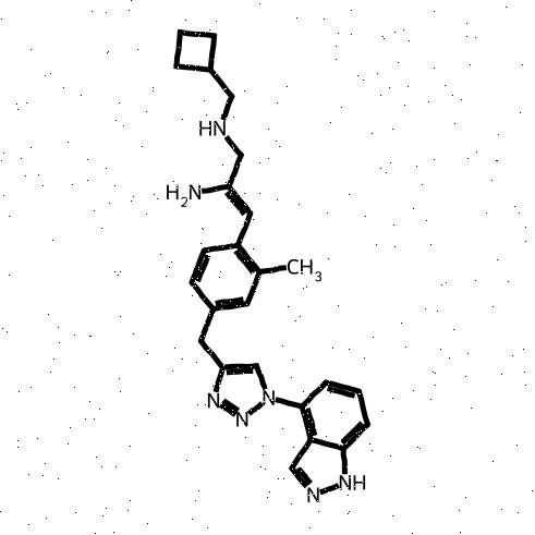 Cc1cc(Cc2cn(-c3cccc4[nH]ncc34)nn2)ccc1/C=C(\N)CNCC1CCC1